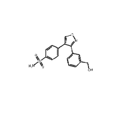 NS(=O)(=O)c1ccc(-c2conc2-c2cccc(CO)c2)cc1